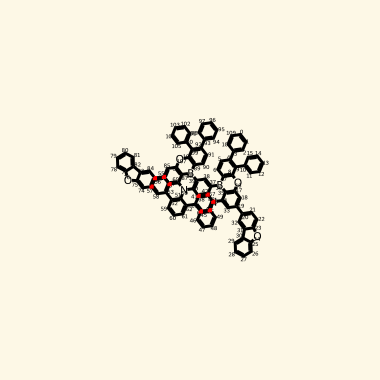 c1ccc(-c2ccc3c(c2-c2ccccc2)Oc2cc(-c4ccc5oc6ccccc6c5c4)cc4c2B3c2cc3c(cc2N4c2ccccc2)N(c2c(-c4ccccc4)cccc2-c2ccccc2)c2cc(-c4ccc5oc6ccccc6c5c4)cc4c2B3c2ccc(-c3ccccc3)c(-c3ccccc3)c2O4)cc1